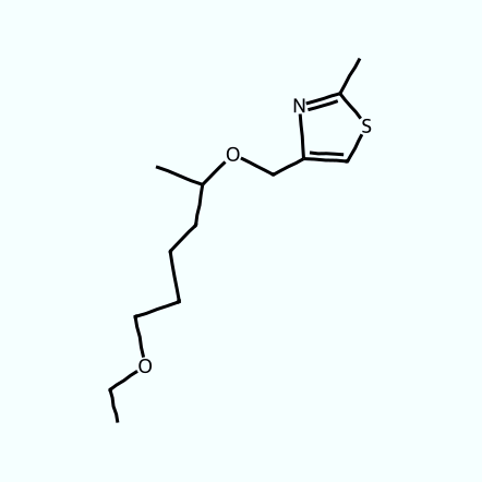 CCOCCCCC(C)OCc1csc(C)n1